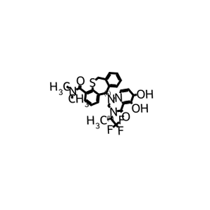 C[C@@H](N1CN([C@H]2c3ccccc3CSc3c(C(=O)N(C)C)cccc32)N2C=CC(O)C(O)=C2C1=O)C(F)(F)F